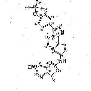 CC(OC(=O)Nc1ccc2c(ccc3c2ncn3-c2ccc(OC(F)(F)F)cc2)c1)c1ccc(Cl)cn1